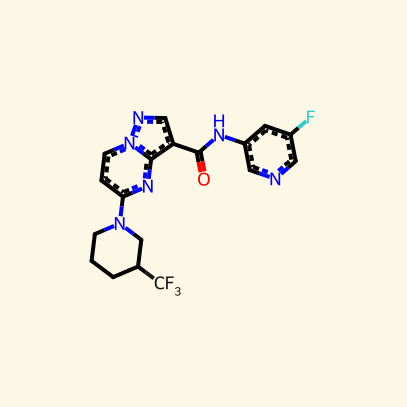 O=C(Nc1cncc(F)c1)c1cnn2ccc(N3CCCC(C(F)(F)F)C3)nc12